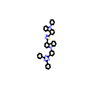 c1ccc(-c2nc(-c3ccccc3)nc(-c3cccc(-n4c5ccccc5c5c(-c6nnc(-c7cccc8c7c7ccccc7n8-c7ccccc7)s6)cccc54)c3)n2)cc1